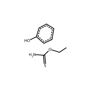 CCOC(N)=S.Oc1ccccc1